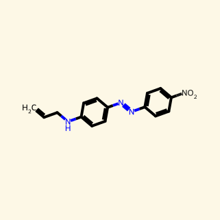 C=CCNc1ccc(N=Nc2ccc([N+](=O)[O-])cc2)cc1